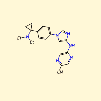 CCN(CC)C1(c2ccc(-n3cnc(Nc4cnc(C#N)cn4)c3)cc2)CC1